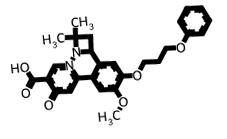 COc1cc2c(cc1OCCCOc1ccccc1)C1CC(C)(C)N1n1cc(C(=O)O)c(=O)cc1-2